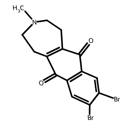 CN1CCC2=C(CC1)C(=O)c1cc(Br)c(Br)cc1C2=O